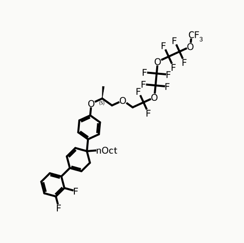 CCCCCCCCC1(c2ccc(O[C@@H](C)COCC(F)(F)OC(F)(F)C(F)(F)OC(F)(F)C(F)(F)OC(F)(F)F)cc2)C=CC(c2cccc(F)c2F)=CC1